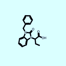 CCC(C(=O)O)n1c(=O)n(Cc2ccccc2)c2ccccc21